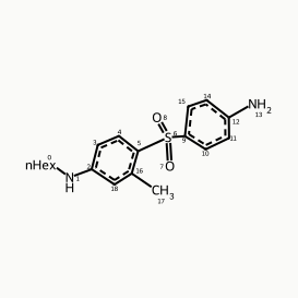 CCCCCCNc1ccc(S(=O)(=O)c2ccc(N)cc2)c(C)c1